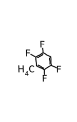 C.Fc1cc(F)c(F)cc1F